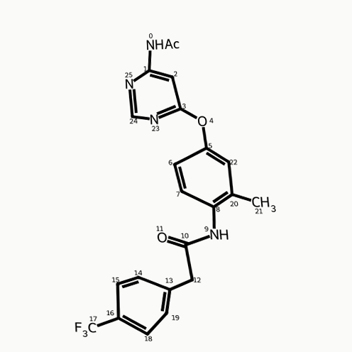 CC(=O)Nc1cc(Oc2ccc(NC(=O)Cc3ccc(C(F)(F)F)cc3)c(C)c2)ncn1